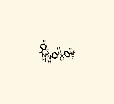 CC(NC(=S)Nc1ccc(NC(=O)c2ccc(C(F)(F)F)cc2)cc1)c1ccc(F)cc1